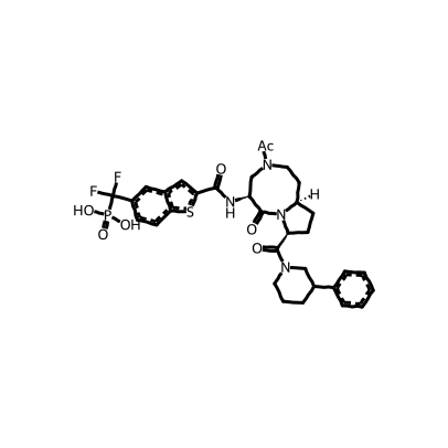 CC(=O)N1CC[C@H]2CC[C@@H](C(=O)N3CCCC(c4ccccc4)C3)N2C(=O)[C@@H](NC(=O)c2cc3cc(C(F)(F)P(=O)(O)O)ccc3s2)C1